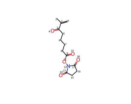 C=C(C)C(=O)CCCCC(=O)ON1C(=O)CCC1=O